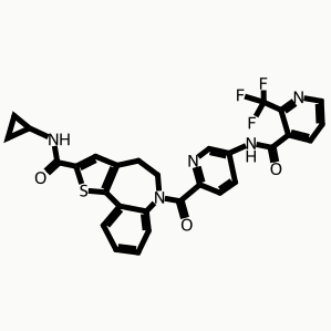 O=C(NC1CC1)c1cc2c(s1)-c1ccccc1N(C(=O)c1ccc(NC(=O)c3cccnc3C(F)(F)F)cn1)CC2